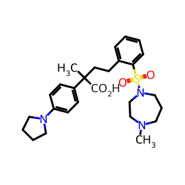 CN1CCCN(S(=O)(=O)c2ccccc2CCC(C)(C(=O)O)c2ccc(N3CCCC3)cc2)CC1